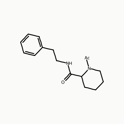 CC(=O)N1CCCCC1C(=O)NCCc1ccccc1